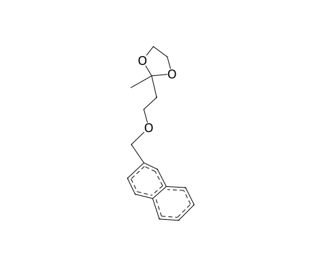 CC1(CCOCc2ccc3ccccc3c2)OCCO1